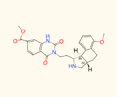 COC(=O)c1ccc2c(=O)n(CCC3NC[C@H]4CCc5c(OC)cccc5[C@H]34)c(=O)[nH]c2c1